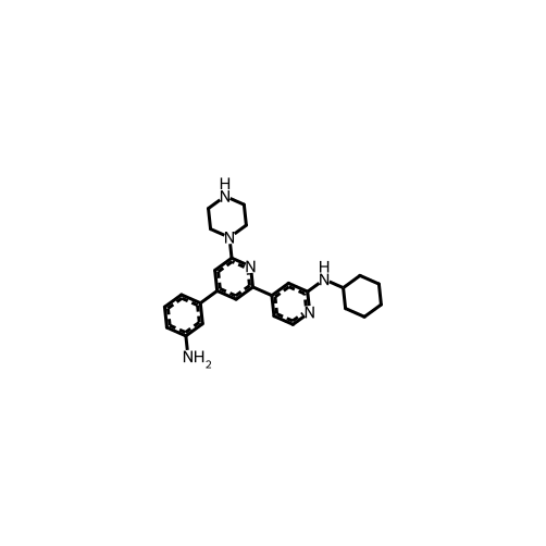 Nc1cccc(-c2cc(-c3ccnc(NC4CCCCC4)c3)nc(N3CCNCC3)c2)c1